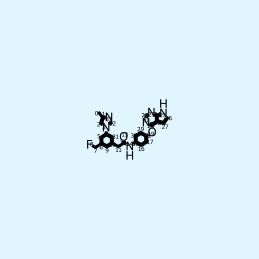 Cc1cn(-c2cc(CF)cc(CC(=O)Nc3ccc(Oc4ncnc5[nH]ccc45)cc3)c2)cn1